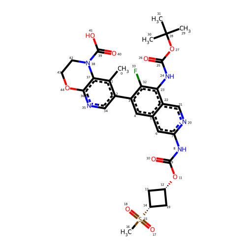 Cc1c(-c2cc3cc(NC(=O)O[C@H]4C[C@@H](S(C)(=O)=O)C4)ncc3c(NC(=O)OC(C)(C)C)c2F)cnc2c1N(C(=O)O)CCO2